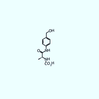 C[C@H](NC(=O)O)C(=O)Nc1ccc(CO)cc1